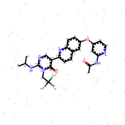 CC(=O)Nc1cc(Oc2ccc3nc(-c4cnc(NC(C)C)n(CC(F)(F)F)c4=O)ccc3c2)ccn1